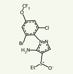 CC[S+]([O-])c1cnn(-c2c(Cl)cc(OC(F)(F)F)cc2Br)c1N